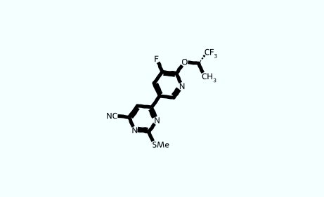 CSc1nc(C#N)cc(-c2cnc(O[C@@H](C)C(F)(F)F)c(F)c2)n1